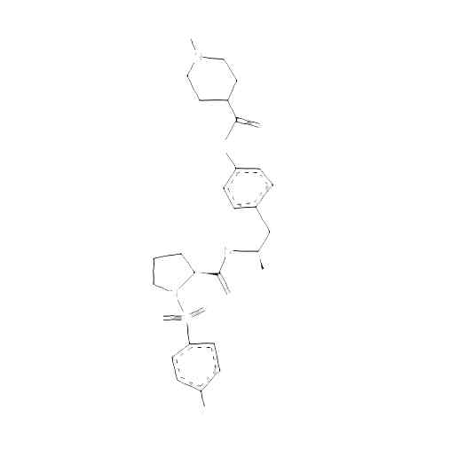 CCOC(=O)[C@H](Cc1ccc(OC(=O)C2CCN(C)CC2)cc1)NC(=O)[C@@H]1CCCN1S(=O)(=O)c1ccc(C)cc1